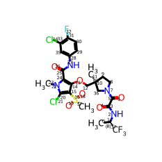 C[C@@H](NC(=O)C(=O)N1CC[C@](C)(COc2c(S(C)(=O)=O)c(Cl)n(C)c2C(=O)Nc2ccc(F)c(Cl)c2)C1)C(F)(F)F